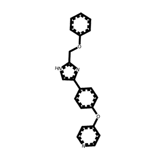 c1ccc(OCc2nc(-c3ccc(Oc4ccncc4)cc3)c[nH]2)cc1